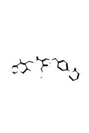 COCc1nn(Cc2ccc(-n3ccccc3=O)cc2)cc1C(=O)NCc1c(C)cn2cncc2c1C